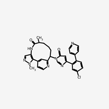 CC1CCCC(n2cnc(-c3cc(Cl)ccc3-c3ccncc3)cc2=O)c2cc(ccn2)-c2c(cnn2C)NC1=O